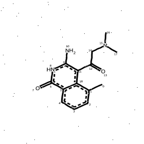 Cc1cccc2c(=O)[nH]c(N)c(C(=O)CN(C)C)c12